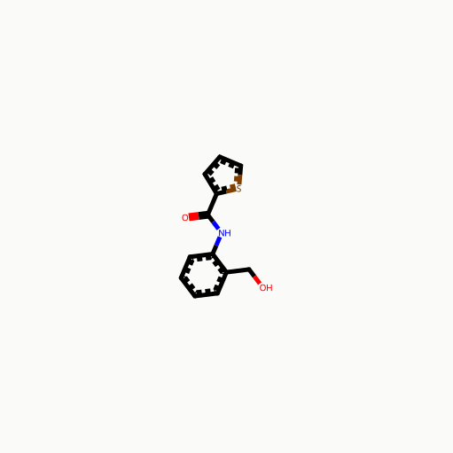 O=C(Nc1ccccc1CO)c1cccs1